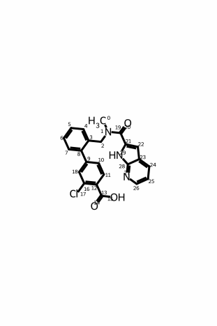 CN(Cc1ccccc1-c1ccc(C(=O)O)c(Cl)c1)C(=O)c1cc2cccnc2[nH]1